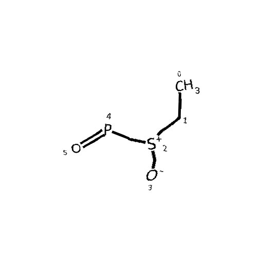 CC[S+]([O-])P=O